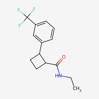 CCNC(=O)C1CCC1c1cccc(C(F)(F)F)c1